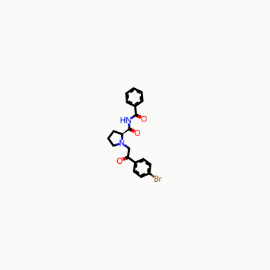 O=C(CN1CCC[C@H]1C(=O)NC(=O)c1ccccc1)c1ccc(Br)cc1